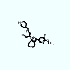 COc1ncc(-c2nn(/C(C=N)=C/NCC3CCNCC3)c3c2CCOCC3)cc1F